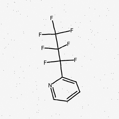 FC(F)(F)C(F)(F)C(F)(F)c1cc[c]cn1